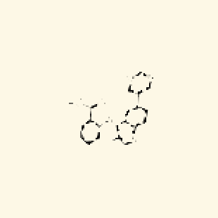 O=C(O)c1ccccc1Nc1c(S)cnc2ccc(-c3cncnc3)cc12